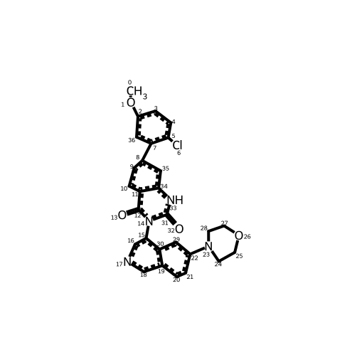 COc1ccc(Cl)c(-c2ccc3c(=O)n(-c4cncc5ccc(N6CCOCC6)cc45)c(=O)[nH]c3c2)c1